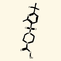 Cc1nc(C(C)(F)F)ccc1S(=O)(=O)N1CCN(C(=O)OC(C)(C)C)CC1